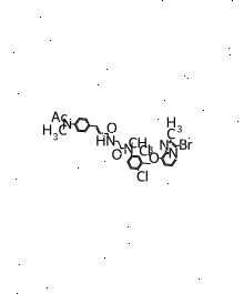 CC(=O)N(C)c1ccc(C=CC(=O)NCC(=O)N(C)c2ccc(Cl)c(COc3cccn4c(Br)c(C)nc34)c2Cl)cc1